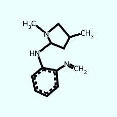 C=Nc1ccccc1NC1CC(C)CN1C